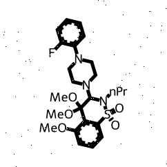 CCCN1C(N2CCN(c3ccccc3F)CC2)C(OC)(OC)c2c(OC)cccc2S1(=O)=O